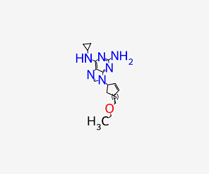 CCOC[C@@H]1C=CC(n2cnc3c(NC4CC4)nc(N)nc32)C1